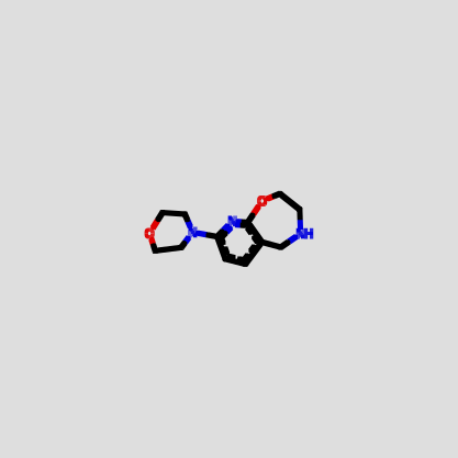 c1cc2c(nc1N1CCOCC1)OCCNC2